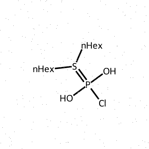 CCCCCCS(CCCCCC)=P(O)(O)Cl